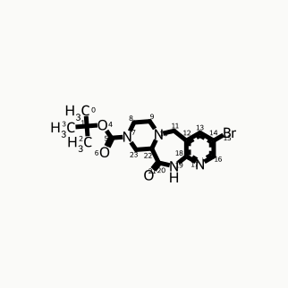 CC(C)(C)OC(=O)N1CCN2Cc3cc(Br)cnc3NC(=O)C2C1